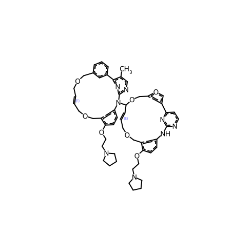 Cc1cnc2nc1-c1cccc(c1)COC/C=C/COCc1cc(ccc1OCCN1CCCC1)N2C1/C=C/COCc2cc(ccc2OCCN2CCCC2)Nc2nccc(n2)-c2coc(c2)CO1